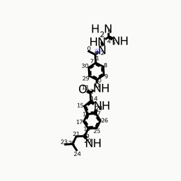 C/C(=N\NC(=N)N)c1ccc(NC(=O)c2cc3cc(C(=N)CC(C)C)ccc3[nH]2)cc1